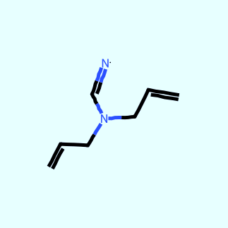 C=CCN(C=[N])CC=C